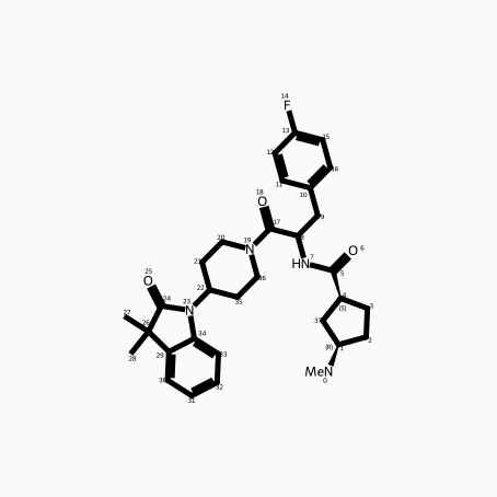 CN[C@@H]1CC[C@H](C(=O)NC(Cc2ccc(F)cc2)C(=O)N2CCC(N3C(=O)C(C)(C)c4ccccc43)CC2)C1